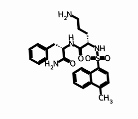 Cc1ccc(S(=O)(=O)N[C@@H](CCCN)C(=O)N[C@@H](Cc2ccccc2)C(N)=O)c2ccccc12